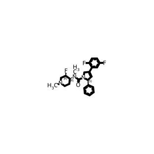 CN1CC[C@@H](N(C)C(=O)N2CC(c3cc(F)ccc3F)=C[C@H]2c2ccccc2)[C@H](F)C1